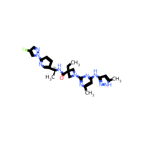 CCC1(C(=O)N[C@@H](C)c2ccc(-n3cc(F)cn3)nc2)CN(c2nc(C)cc(Nc3cc(C)[nH]n3)n2)C1